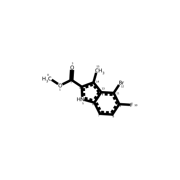 COC(=O)c1[nH]c2ccc(F)c(Br)c2c1C